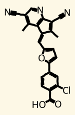 CC1=C(C#N)c2ncc(C#N)c(C)c2/C1=C/c1ccc(-c2ccc(C(=O)O)c(Cl)c2)o1